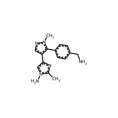 Cc1nc(-c2cnn(C)c2-c2ccc(CN)cc2)cn1N